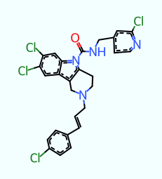 O=C(NCc1ccnc(Cl)c1)n1c2c(c3cc(Cl)c(Cl)cc31)CN(C/C=C/c1ccc(Cl)cc1)CC2